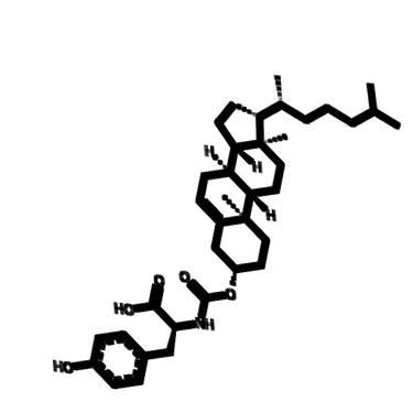 CC(C)CCC[C@@H](C)[C@H]1CC[C@H]2[C@@H]3CC=C4C[C@@H](OC(=O)N[C@@H](Cc5ccc(O)cc5)C(=O)O)CC[C@]4(C)[C@H]3CC[C@]12C